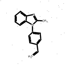 C=Cc1ccc(-n2c(C)nc3ccccc32)cc1